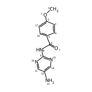 COc1ccc(C(=O)Nc2ncc(N)cn2)cc1